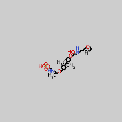 CC(CNCCOS(=O)(=O)O)COCC1CCC(C(C)(C)C2CCC(OCC(O)CNCCCC[SiH]3CCCCO3)CC2)CC1